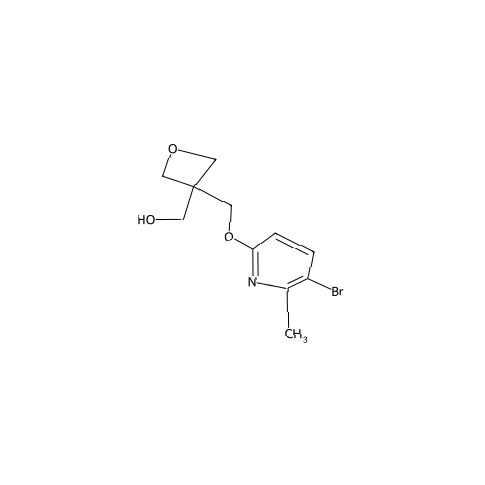 Cc1nc(OCC2(CO)COC2)ccc1Br